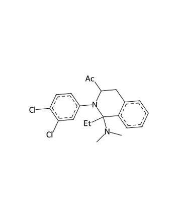 CCC1(N(C)C)c2ccccc2CC(C(C)=O)N1c1ccc(Cl)c(Cl)c1